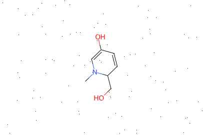 CN1C=C(O)C=CC1CO